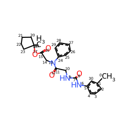 Cc1cccc(NC(=O)NCC(=O)N(CC(=O)OC2(C)CCCC2)c2ccccc2)c1